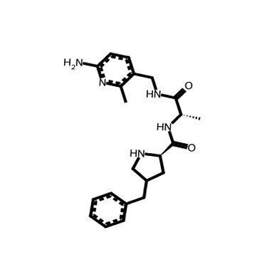 Cc1nc(N)ccc1CNC(=O)[C@H](C)NC(=O)[C@H]1CC(Cc2ccccc2)CN1